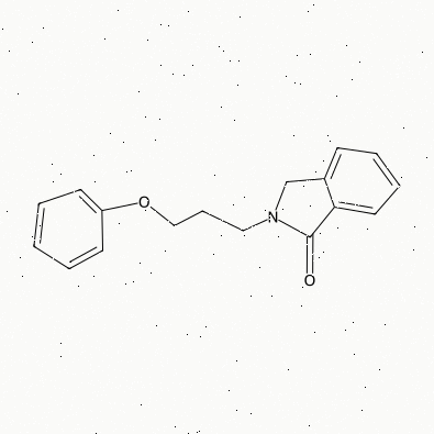 O=C1c2ccccc2CN1CCCOc1ccccc1